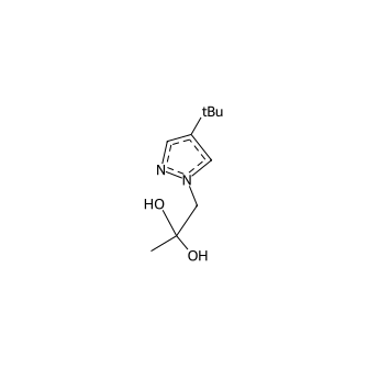 CC(O)(O)Cn1cc(C(C)(C)C)cn1